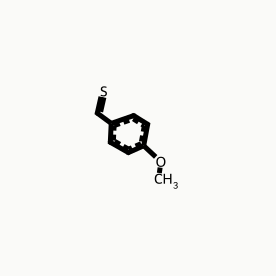 COc1ccc(C=S)cc1